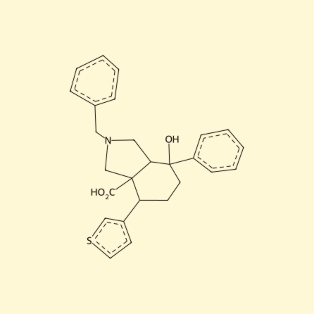 O=C(O)C12CN(Cc3ccccc3)CC1C(O)(c1ccccc1)CCC2c1ccsc1